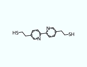 SCCc1ccc(-c2ccc(CCS)cn2)nc1